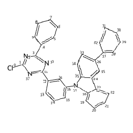 Clc1nc(-c2ccccc2)nc(-c2cccc(-n3c4ccccc4c4cc(-c5ccccc5)ccc43)c2)n1